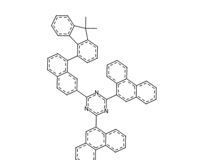 CC1(C)c2ccccc2-c2c(-c3cccc4ccc(-c5nc(-c6cc7ccccc7c7ccccc67)nc(-c6cc7ccccc7c7ccccc67)n5)cc34)cccc21